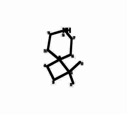 CC1(C)CCC12CCNCC2